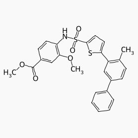 COC(=O)c1ccc(NS(=O)(=O)c2ccc(-c3cc(-c4ccccc4)ccc3C)s2)c(OC)c1